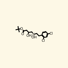 CC(C)(C)OC(=O)CC(O)CN(O)CCc1ccc(Cl)cc1Cl